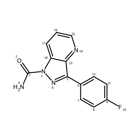 NC(=O)n1nc(-c2ccc(F)cc2)c2n[c]ccc21